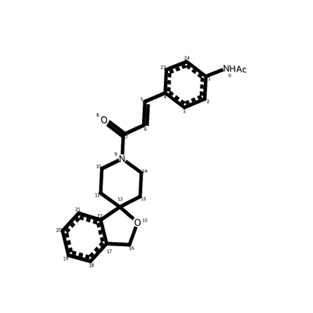 CC(=O)Nc1ccc(/C=C/C(=O)N2CCC3(CC2)OCc2ccccc23)cc1